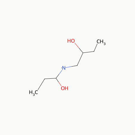 CCC(O)C[N]C(O)CC